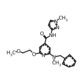 COCCOc1cc(C(=O)Nc2ccn(C)n2)cc(N(C)Cc2ccccc2)n1